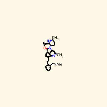 C=C1CCC(N2C(=O)c3ccc(CCc4ccccc4CNC)c4nc(C)cc2c34)C(=C2CC2)N1